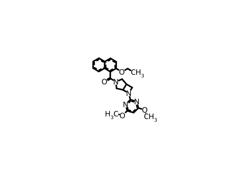 CCOc1ccc2ccccc2c1C(=O)N1CC2CN(c3nc(OC)cc(OC)n3)C2C1